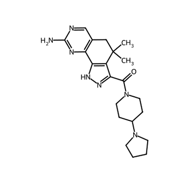 CC1(C)Cc2cnc(N)nc2-c2[nH]nc(C(=O)N3CCC(N4CCCC4)CC3)c21